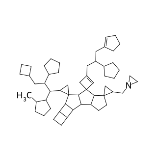 CC1CCCC1C(C(CC1CCC1)C1CCCC1)C1CC12C1C3CCC3C1C1C3CCC4(CC4CN4CC4)C3C3(C=C(CC(CC4=CCCC4)C4CCCC4)C3)C12